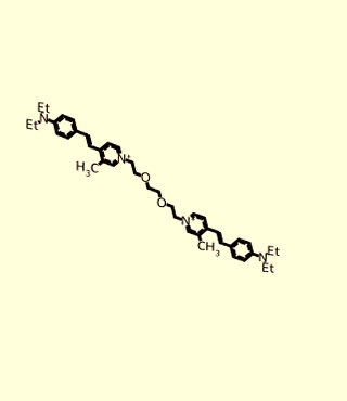 CCN(CC)c1ccc(/C=C/c2cc[n+](CCOCCOCC[n+]3ccc(/C=C/c4ccc(N(CC)CC)cc4)c(C)c3)cc2C)cc1